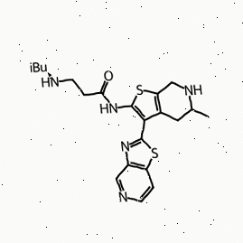 CC[C@H](C)NCCC(=O)Nc1sc2c(c1-c1nc3cnccc3s1)CC(C)NC2